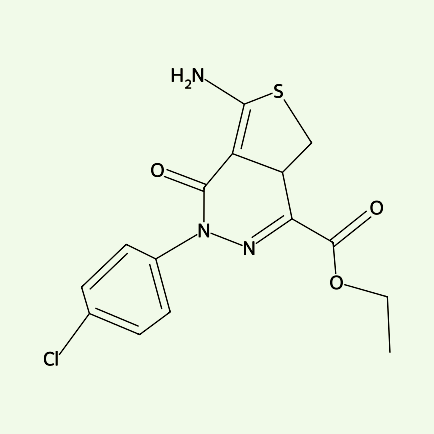 CCOC(=O)C1=NN(c2ccc(Cl)cc2)C(=O)C2=C(N)SCC12